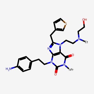 CCCn1c(=O)c2c(nc(Cc3ccsc3)n2CCN(CC)CCO)n(CCc2ccc(N)cc2)c1=O